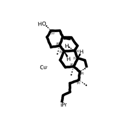 CC(C)CCC[C@@H](C)[C@H]1CC[C@H]2[C@@H]3CC=C4C[C@@H](O)CC[C@]4(C)[C@H]3CC[C@]12C.[Cu]